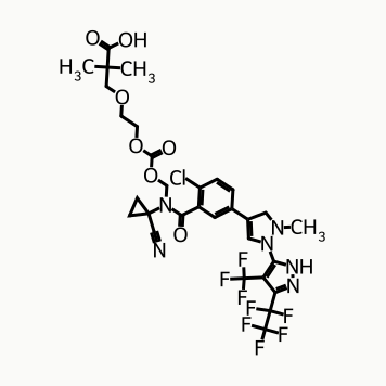 CN1CC(c2ccc(Cl)c(C(=O)N(COC(=O)OCCOCC(C)(C)C(=O)O)C3(C#N)CC3)c2)=CN1c1[nH]nc(C(F)(F)C(F)(F)F)c1C(F)(F)F